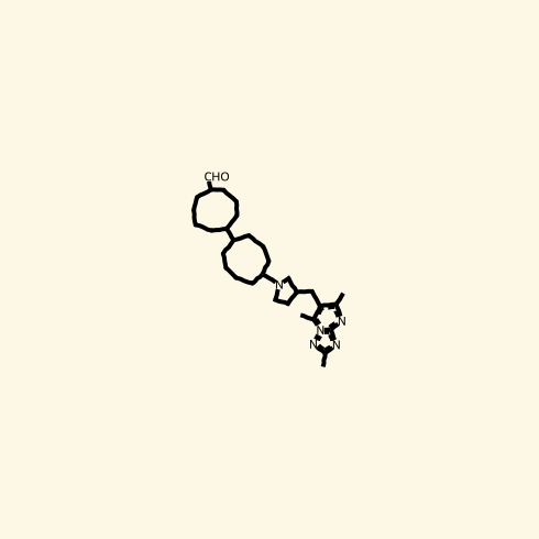 Cc1nc2nc(C)c(CC3CCN(C4CCCCC(C5CCCCC(C=O)CCC5)CCC4)C3)c(C)n2n1